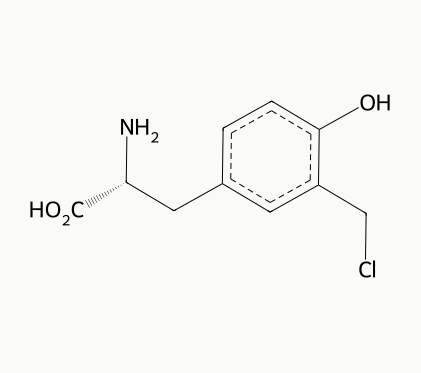 N[C@H](Cc1ccc(O)c(CCl)c1)C(=O)O